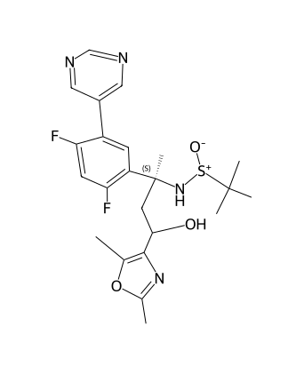 Cc1nc(C(O)C[C@](C)(N[S+]([O-])C(C)(C)C)c2cc(-c3cncnc3)c(F)cc2F)c(C)o1